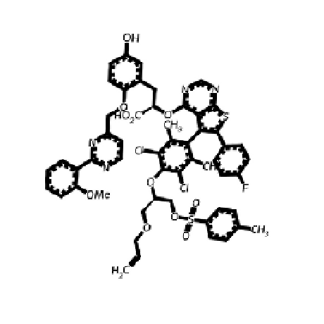 C=CCOC[C@H](COS(=O)(=O)c1ccc(C)cc1)Oc1c(Cl)c(C)c(-c2c(-c3ccc(F)cc3)sc3ncnc(O[C@H](Cc4cc(O)ccc4OCc4ccnc(-c5ccccc5OC)n4)C(=O)O)c23)c(C)c1Cl